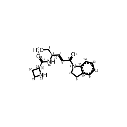 CC[C@@H](C=CC(=O)N1CCc2ccccc21)NC(=O)[C@@H]1CCN1